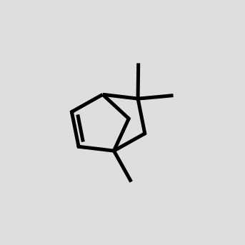 CC12C=CC(C1)C(C)(C)C2